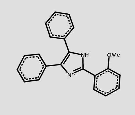 COc1ccccc1C1=[N+]C(c2ccccc2)=C(c2ccccc2)N1